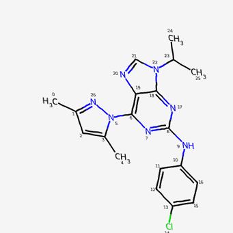 Cc1cc(C)n(-c2nc(Nc3ccc(Cl)cc3)nc3c2ncn3C(C)C)n1